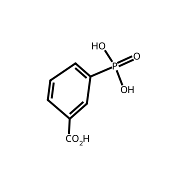 O=C(O)c1cccc(P(=O)(O)O)c1